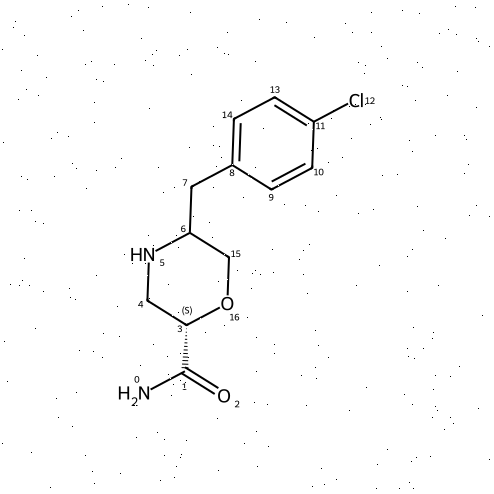 NC(=O)[C@@H]1CNC(Cc2ccc(Cl)cc2)CO1